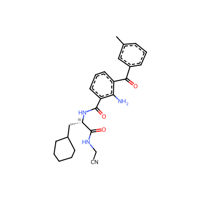 Cc1cccc(C(=O)c2cccc(C(=O)N[C@@H](CC3CCCCC3)C(=O)NCC#N)c2N)c1